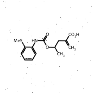 C=C(CC(C)OC(=O)Nc1ccccc1SC)C(=O)O